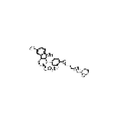 CCOC(=O)N1CCc2c([nH]c3ccc(Cl)cc23)[C@@H]1c1ccc(OCCCNCC2CCCO2)cc1